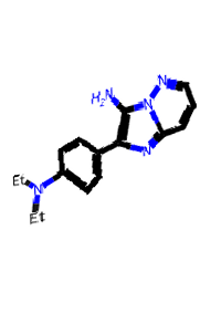 CCN(CC)c1ccc(-c2nc3cccnn3c2N)cc1